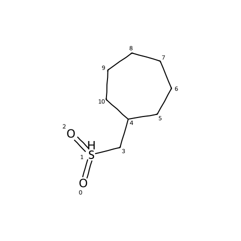 O=[SH](=O)CC1CCCCCC1